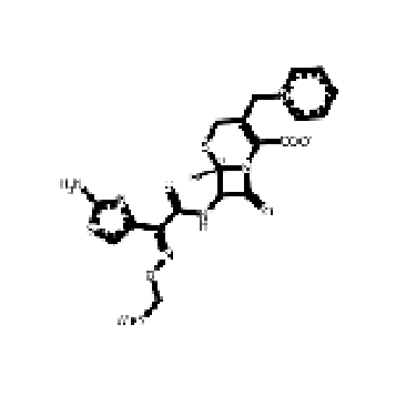 CSCON=C(C(=O)NC1C(=O)N2C(C(=O)[O-])=C(C[n+]3ccccc3)CS[C@@H]12)c1csc(N)n1